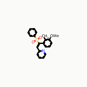 COc1cccc(/C(=C\c2ccccn2)S(=O)(=O)c2ccccc2)c1C